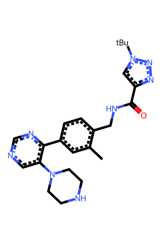 Cc1cc(-c2ncncc2N2CCNCC2)ccc1CNC(=O)c1cn(C(C)(C)C)nn1